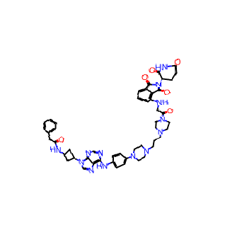 O=C1CC[C@H](N2C(=O)c3cccc(NCC(=O)N4CCN(CCCN5CCN(c6ccc(Nc7ncnc8c7ncn8C7CC(NC(=O)Cc8ccccc8)C7)cc6)CC5)CC4)c3C2=O)C(=O)N1